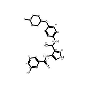 CN1CCC(Oc2ccc(NC(O)c3n[nH]cc3NC(=O)c3cncc(F)c3)cn2)CC1